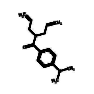 C=CCN(CC=C)C(=O)c1ccc(N(C)C)cc1